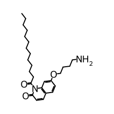 CCCCCCCCCCCCC(=O)n1c(=O)ccc2ccc(OCCCCN)cc21